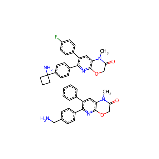 CN1C(=O)COc2nc(-c3ccc(C4(N)CCC4)cc3)c(-c3ccc(F)cc3)cc21.CN1C(=O)COc2nc(-c3ccc(CN)cc3)c(-c3ccccc3)cc21